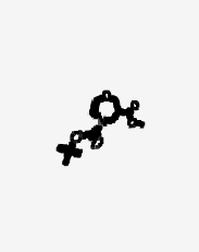 COC(=O)C1COCCN(C(=O)OC(C)(C)C)C1